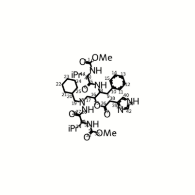 COC(=O)N[C@H](C(=O)NC(Cc1ccccc1)C(CN(CC1CCCCC1)NC(=O)[C@@H](NC(=O)OC)C(C)C)OC(=O)Cc1c[nH]cn1)C(C)C